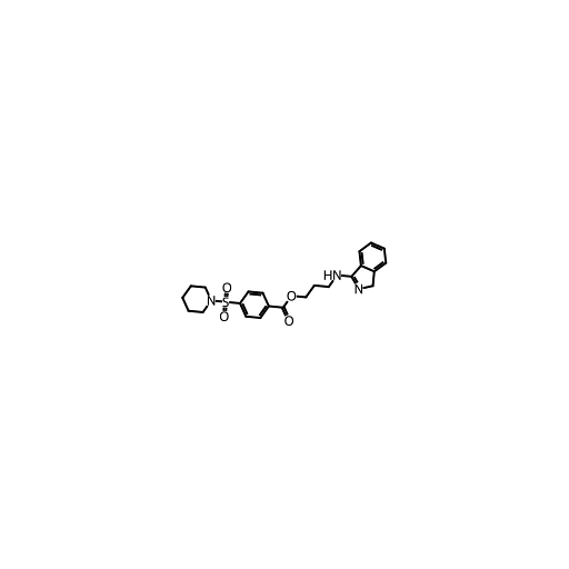 O=C(OCCCNC1=NCc2ccccc21)c1ccc(S(=O)(=O)N2CCCCC2)cc1